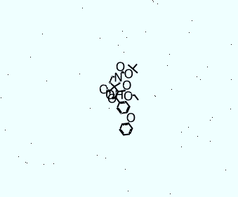 CCOC(=O)C(C(=O)c1ccc(Oc2ccccc2)cc1)C1(C(=O)O)CCN(C(=O)OC(C)(C)C)C1